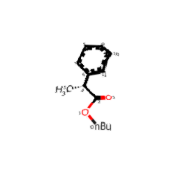 CCCCOC(=O)[C@H](C)c1ccccc1